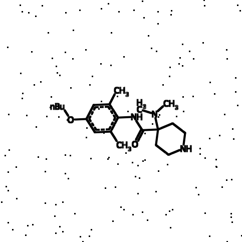 CCCCOc1cc(C)c(NC(=O)C2(N(C)C)CCNCC2)c(C)c1